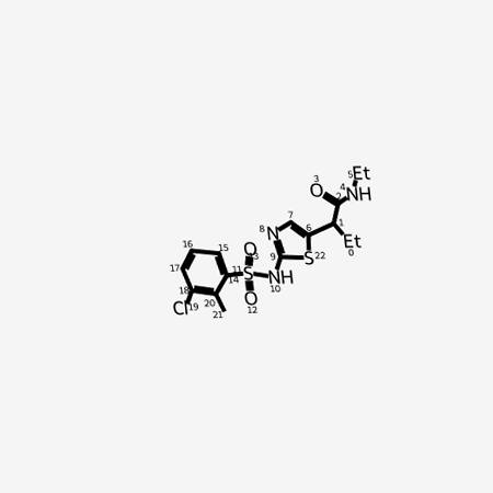 [CH2]CC(C(=O)NCC)c1cnc(NS(=O)(=O)c2cccc(Cl)c2C)s1